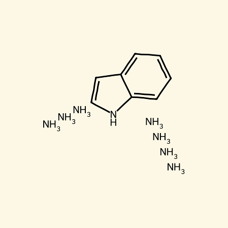 N.N.N.N.N.N.N.c1ccc2[nH]ccc2c1